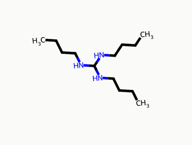 CCCCN[C](NCCCC)NCCCC